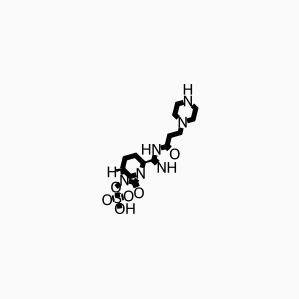 N=C(NC(=O)CCN1CCNCC1)[C@@H]1CC[C@@H]2CN1C(=O)N2OS(=O)(=O)O